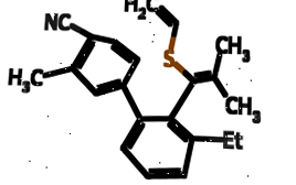 C=CSC(=C(C)C)c1c(CC)cccc1-c1ccc(C#N)c(C)c1